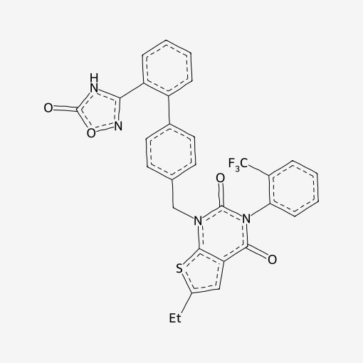 CCc1cc2c(=O)n(-c3ccccc3C(F)(F)F)c(=O)n(Cc3ccc(-c4ccccc4-c4noc(=O)[nH]4)cc3)c2s1